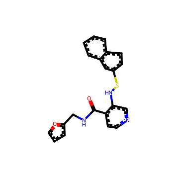 O=C(NCc1ccco1)c1ccncc1NSc1ccc2ccccc2c1